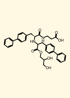 O=C(O)CCNC(=O)[C@H](Cc1ccc(-c2ccccc2)cc1)NC(Cc1ccc(-c2ccccc2)cc1)C(=O)OCC(O)CO